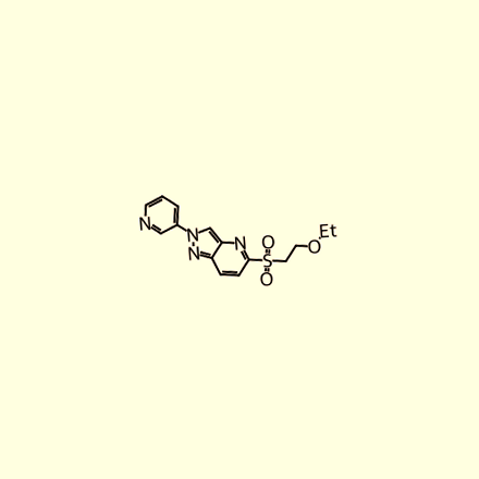 CCOCCS(=O)(=O)c1ccc2nn(-c3cccnc3)cc2n1